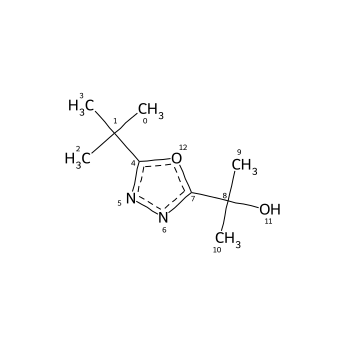 CC(C)(C)c1nnc(C(C)(C)O)o1